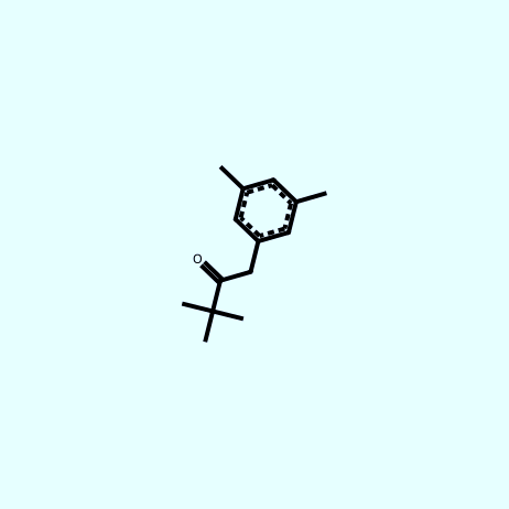 Cc1cc(C)cc(CC(=O)C(C)(C)C)c1